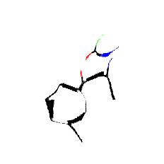 Cc1cccc(-c2oc(Cl)nc2C)c1